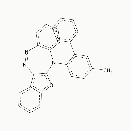 Cc1ccc(N2c3ccccc3N=Nc3c2oc2ccccc32)c(-c2ccccc2)c1